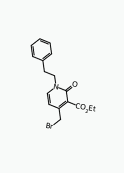 CCOC(=O)c1c(CBr)ccn(CCc2ccccc2)c1=O